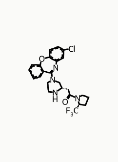 O=C(C[C@H]1CN(C2=Nc3cc(Cl)ccc3Oc3ccccc32)CCN1)N1CCC[C@H]1C(F)(F)F